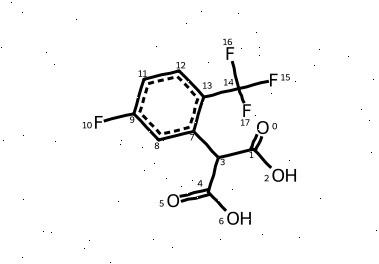 O=C(O)C(C(=O)O)c1cc(F)ccc1C(F)(F)F